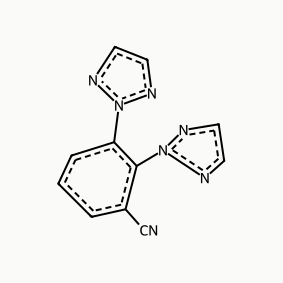 N#Cc1cccc(-n2nccn2)c1-n1nccn1